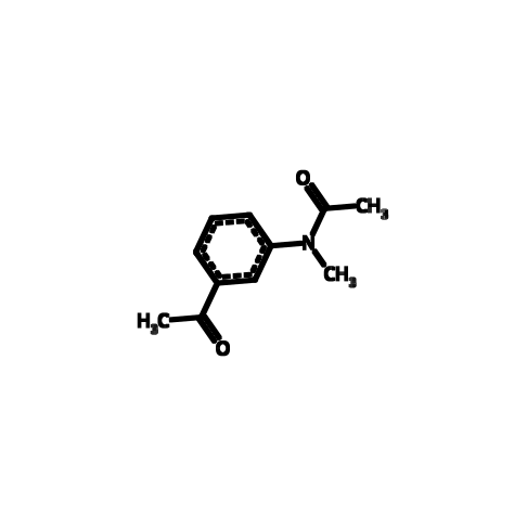 CC(=O)c1cccc(N(C)C(C)=O)c1